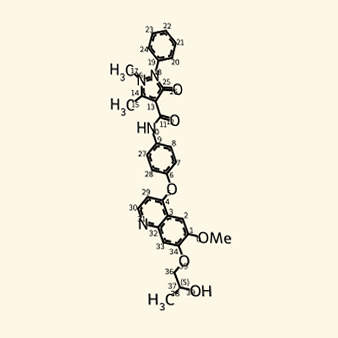 COc1cc2c(Oc3ccc(NC(=O)c4c(C)n(C)n(-c5ccccc5)c4=O)cc3)ccnc2cc1OC[C@H](C)O